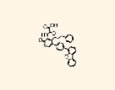 O=C(O)C(=O)Nc1c(CCCc2ccccc2)c(-c2ccc(-c3cccc4c3oc3ccccc34)cc2)c[nH]c1=O